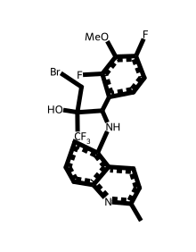 COc1c(F)ccc(C(Nc2cccc3nc(C)ccc23)C(O)(CBr)C(F)(F)F)c1F